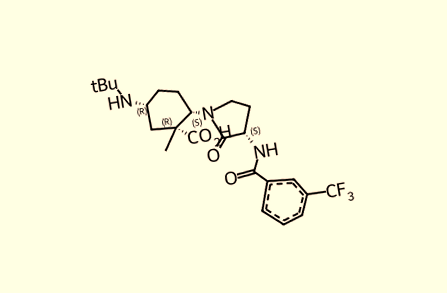 CC(C)(C)N[C@@H]1CC[C@H](N2CC[C@H](NC(=O)c3cccc(C(F)(F)F)c3)C2=O)[C@](C)(C(=O)O)C1